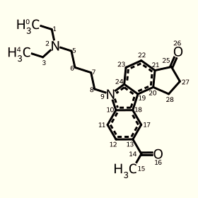 CCN(CC)CCCCn1c2ccc(C(C)=O)cc2c2c3c(ccc21)C(=O)CC3